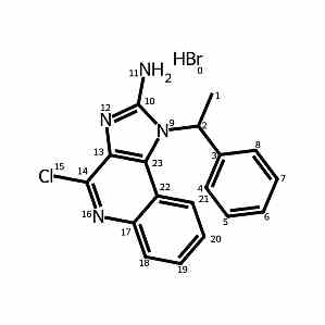 Br.CC(c1ccccc1)n1c(N)nc2c(Cl)nc3ccccc3c21